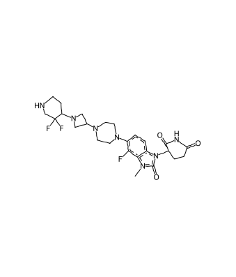 Cn1c(=O)n(C2CCC(=O)NC2=O)c2ccc(N3CCN(C4CN(C5CCNCC5(F)F)C4)CC3)c(F)c21